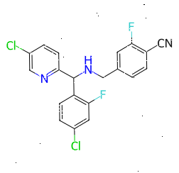 N#Cc1ccc(CNC(c2ccc(Cl)cn2)c2ccc(Cl)cc2F)cc1F